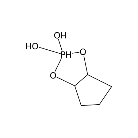 O[PH]1(O)OC2CCCC2O1